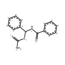 NC(=S)SC(NC(=O)c1ccccc1)c1ccccc1